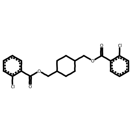 O=C(OCC1CCC(COC(=O)c2ccccc2Cl)CC1)c1ccccc1Cl